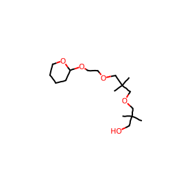 CC(C)(CO)COCC(C)(C)COCCOC1CCCCO1